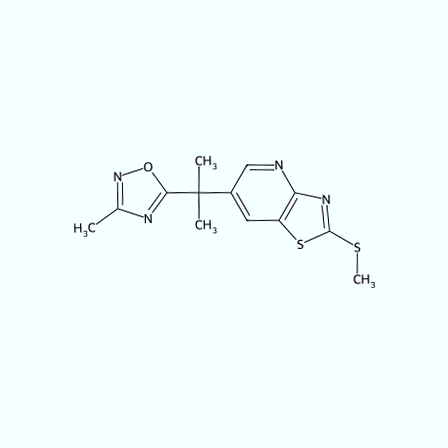 CSc1nc2ncc(C(C)(C)c3nc(C)no3)cc2s1